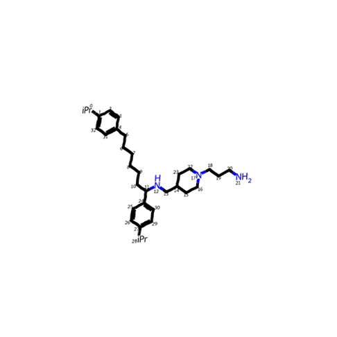 CC(C)c1ccc(CCCCCCC(NCC2CCN(CCCN)CC2)c2ccc(C(C)C)cc2)cc1